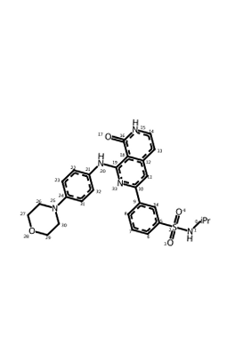 CC(C)NS(=O)(=O)c1cccc(-c2cc3cc[nH]c(=O)c3c(Nc3ccc(N4CCOCC4)cc3)n2)c1